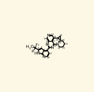 CC(F)(F)c1cc2c(-c3nc(N4CCCCC4)c4c(C5CC5)cncc4n3)ccnc2[nH]1